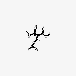 COC(=O)C(=NOC(C)=O)C(=O)OC